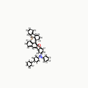 c1ccc(-c2ccc(N(c3ccccc3)c3ccc4oc5c(-c6cccc7c6sc6ccccc67)c6ccccc6cc5c4c3)cc2)cc1